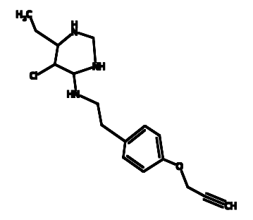 C#CCOc1ccc(CCNC2NCNC(CC)C2Cl)cc1